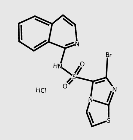 Cl.O=S(=O)(Nc1nccc2ccccc12)c1c(Br)nc2sccn12